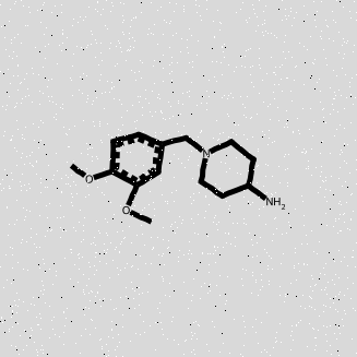 COc1ccc(CN2CCC(N)CC2)cc1OC